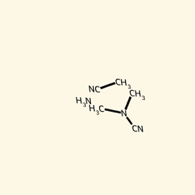 CC#N.CN(C)C#N.N